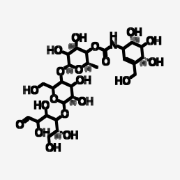 C[C@H]1O[C@@H](OC2C(CO)OC(OC(C(O)C(O)C=O)[C@H](O)CO)[C@H](O)C2O)C(O)[C@@H](O)C1OC(=O)NC1C=C(CO)[C@@H](O)C(O)[C@H]1O